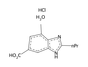 CCCc1nc2c(C)cc(C(=O)O)cc2[nH]1.Cl.O